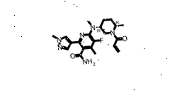 C=CC(=O)N1C[C@H](N(C)c2nc(-c3cnn(C)c3)c(C(N)=O)c(C)c2F)CC[C@H]1C